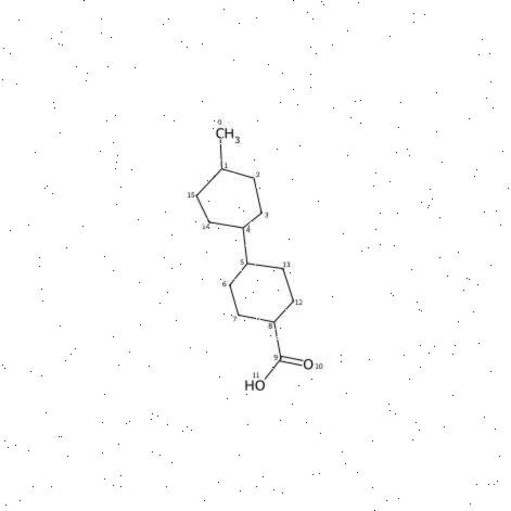 CC1CCC(C2CCC(C(=O)O)CC2)CC1